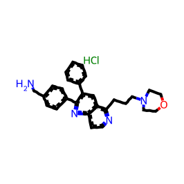 Cl.NCc1ccc(-c2nc3ccnc(CCCN4CCOCC4)c3cc2-c2ccccc2)cc1